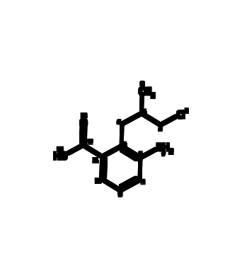 CC(CCl)Cc1c(N)cccc1C(=O)O